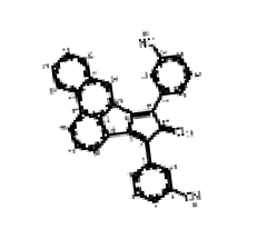 N#Cc1cccc(C2=C3C(=C(c4cccc(C#N)c4)C2=O)c2cc4ccccc4c4cccc3c24)c1